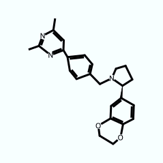 Cc1cc(-c2ccc(CN3CCC[C@H]3c3ccc4c(c3)OCCO4)cc2)nc(C)n1